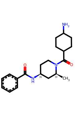 C[C@H]1C[C@@H](NC(=O)c2ccccc2)CCN1C(=O)C1CCC(N)CC1